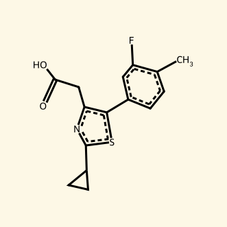 Cc1ccc(-c2sc(C3CC3)nc2CC(=O)O)cc1F